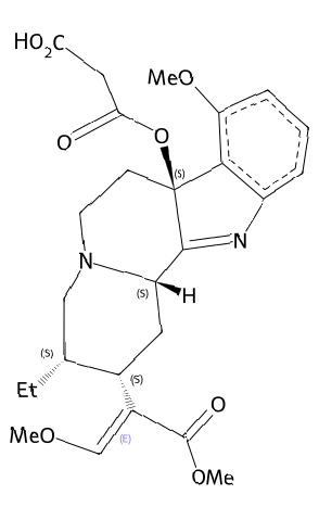 CC[C@@H]1CN2CC[C@@]3(OC(=O)CC(=O)O)C(=Nc4cccc(OC)c43)[C@@H]2C[C@@H]1/C(=C\OC)C(=O)OC